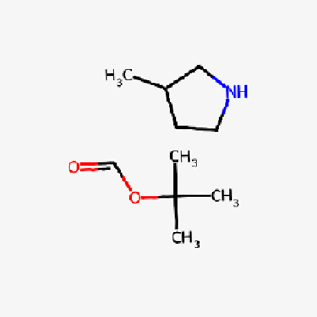 CC(C)(C)OC=O.CC1CCNC1